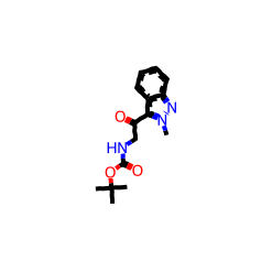 Cn1nc2ccccc2c1C(=O)CNC(=O)OC(C)(C)C